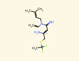 C=CN(CC=C(C)C)C(=N)/C=C(\N)CSC(C)(F)F